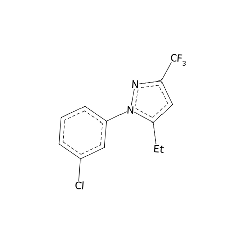 CCc1cc(C(F)(F)F)nn1-c1cccc(Cl)c1